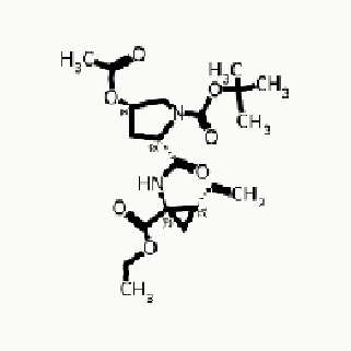 C=C[C@@H]1C[C@]1(NC(=O)[C@@H]1C[C@@H](OC(C)=O)CN1C(=O)OC(C)(C)C)C(=O)OCC